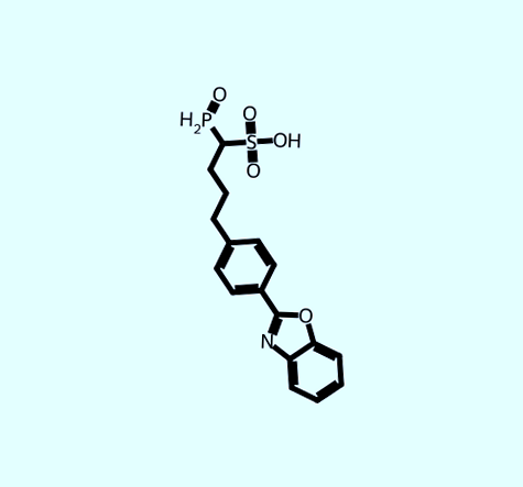 O=[PH2]C(CCCc1ccc(-c2nc3ccccc3o2)cc1)S(=O)(=O)O